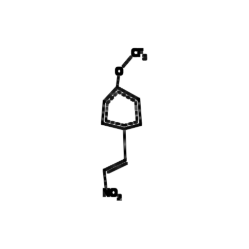 O=[N+]([O-])/C=C/c1ccc(OC(F)(F)F)cc1